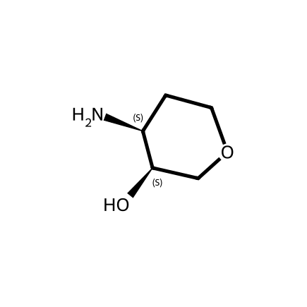 N[C@H]1CCOC[C@H]1O